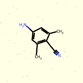 Cc1cc(N)cc(C)c1C#N